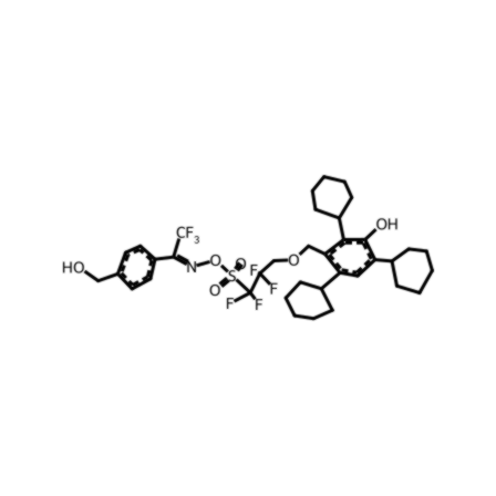 O=S(=O)(O/N=C(/c1ccc(CO)cc1)C(F)(F)F)C(F)(F)C(F)(F)COCc1c(C2CCCCC2)cc(C2CCCCC2)c(O)c1C1CCCCC1